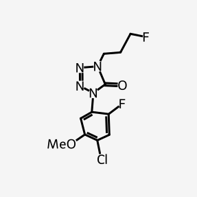 COc1cc(-n2nnn(CCCF)c2=O)c(F)cc1Cl